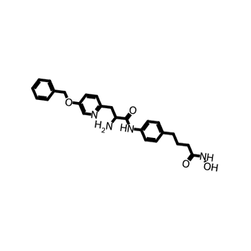 NC(Cc1ccc(OCc2ccccc2)cn1)C(=O)Nc1ccc(CCCC(=O)NO)cc1